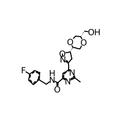 Cc1nc(C(=O)NCc2ccc(F)cc2)cc(C2=NO[C@H](C3CO[C@@H](CO)CO3)C2)n1